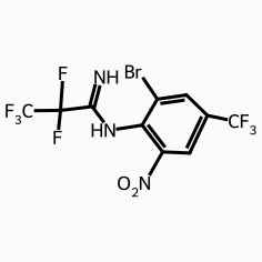 N=C(Nc1c(Br)cc(C(F)(F)F)cc1[N+](=O)[O-])C(F)(F)C(F)(F)F